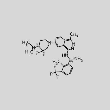 Cc1c([C@@H](N)Nc2nnc(C)c3ccc(N4CC[C@H](N(C)C)C(F)(F)C4)cc23)cccc1C(F)(F)F